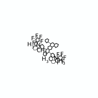 CC12CCCCC1(C)N(c1c(F)c(F)c(F)c(F)c1F)c1ccc(-c3c4ccccc4c(-c4ccc5c(c4)C4(C)CCCCC4(C)N5c4c(F)c(F)c(F)c(F)c4F)c4cc5c(cc34)c(-c3ccccc3)cc3ccccc35)cc12